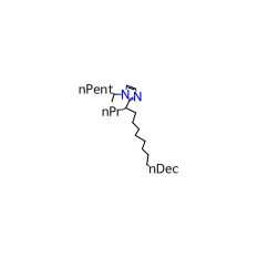 CCCCCCCCCCCCCCCCCCC(CCC)c1nccn1C(C)CCCCC